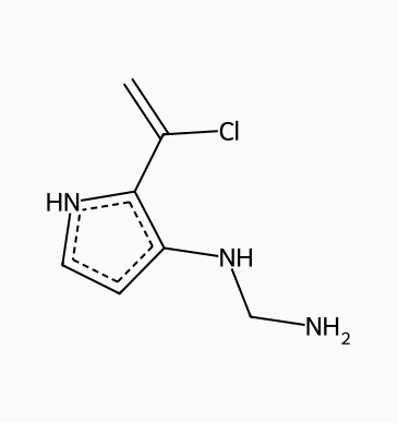 C=C(Cl)c1[nH]ccc1NCN